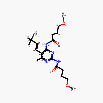 CCOCCCC(=O)Nc1nc(C)c(C=CC(C)(C)C(F)(F)F)c(NC(=O)CCCOCC)n1